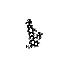 Cc1cc(Cn2nc(C(F)(F)C(F)(F)F)nc2C(F)(F)F)ccc1N(C(=O)c1ccccc1C(N)=O)[C@@H](C)CS(C)(=O)=O